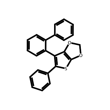 c1ccc(-c2ccccc2-c2c(-c3ccccc3)sc3c2OCO3)cc1